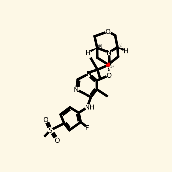 Cc1c(Nc2ccc(S(C)(=O)=O)cc2F)ncnc1O[C@H]1C[C@H]2COC[C@@H](C1)N2CC(C)(C)C